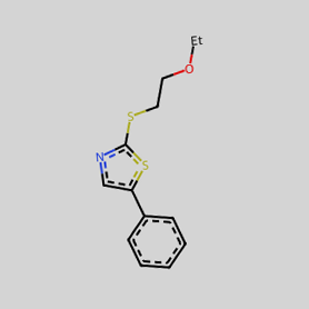 CCOCCSc1ncc(-c2ccccc2)s1